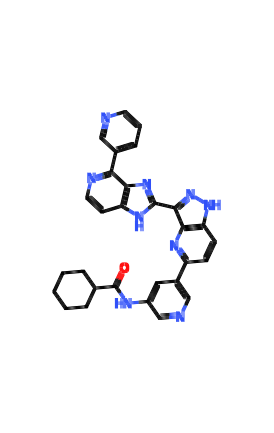 O=C(Nc1cncc(-c2ccc3[nH]nc(-c4nc5c(-c6cccnc6)nccc5[nH]4)c3n2)c1)C1CCCCC1